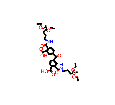 CCO[Si](C)(CCCNC(=O)c1ccc(C(=O)c2ccc(C(=O)O)c(C(=O)NCCC[Si](C)(OCC)OCC)c2)cc1C(=O)O)OCC